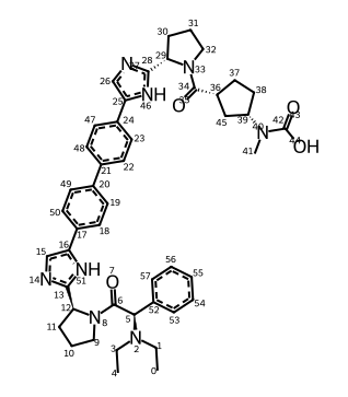 CCN(CC)[C@@H](C(=O)N1CCC[C@H]1c1ncc(-c2ccc(-c3ccc(-c4cnc([C@@H]5CCCN5C(=O)[C@@H]5CC[C@H](N(C)C(=O)O)C5)[nH]4)cc3)cc2)[nH]1)c1ccccc1